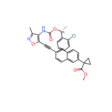 COC(=O)C1(c2ccc3cc(C#Cc4onc(C)c4NC(=O)O[C@H](C)c4ccccc4Cl)ccc3c2)CC1